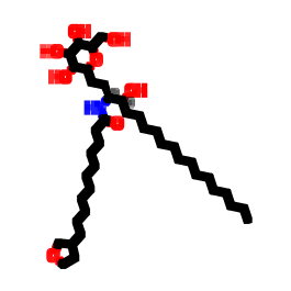 CCCCCCCCCCCCCCC[C@@H](O)[C@H](CCC1OC(CO)C(O)C(O)C1O)NC(=O)CCCCCCCCCCC1CCOC1